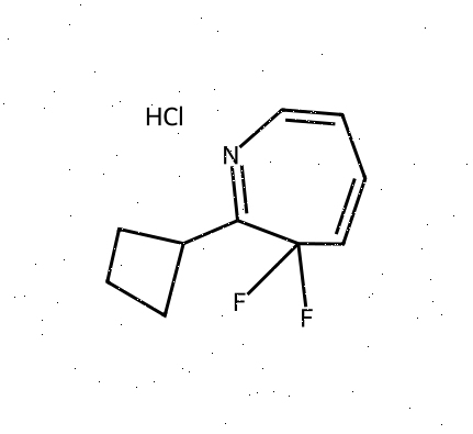 Cl.FC1(F)C=CC=CN=C1C1CCC1